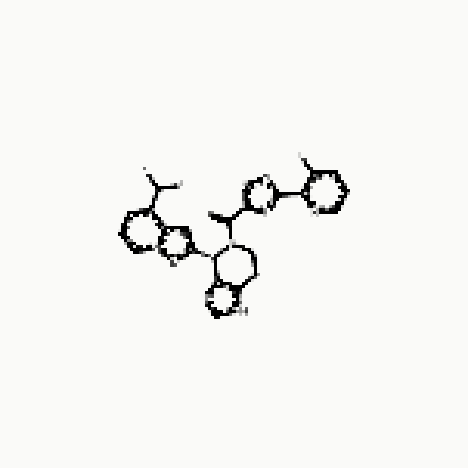 O=C(c1nnc(-c2ncccc2F)o1)N1CCc2[nH]cnc2[C@H]1c1cc2c(C(F)F)cccn2n1